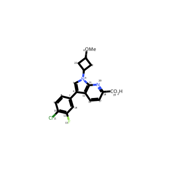 COC1CC(n2cc(-c3ccc(Cl)c(F)c3)c3ccc(C(=O)O)nc32)C1